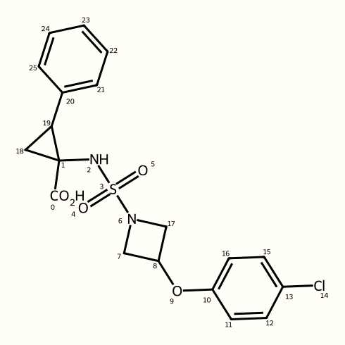 O=C(O)C1(NS(=O)(=O)N2CC(Oc3ccc(Cl)cc3)C2)CC1c1ccccc1